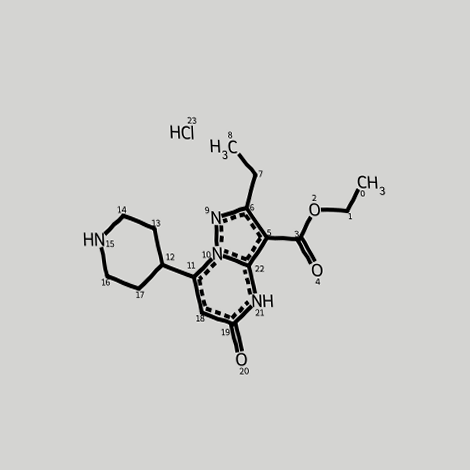 CCOC(=O)c1c(CC)nn2c(C3CCNCC3)cc(=O)[nH]c12.Cl